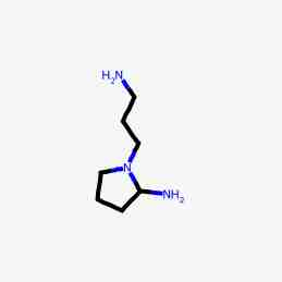 NCCCN1CCCC1N